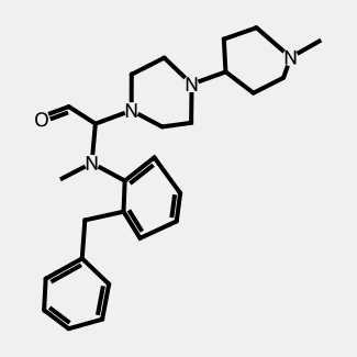 CN1CCC(N2CCN(C(C=O)N(C)c3ccccc3Cc3ccccc3)CC2)CC1